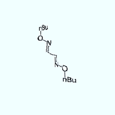 CCCCO/N=C/C=N/OCCCC